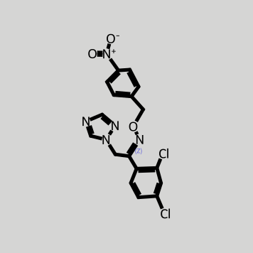 O=[N+]([O-])c1ccc(CO/N=C(\Cn2cncn2)c2ccc(Cl)cc2Cl)cc1